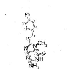 Cn1c(SCc2ccc(F)cc2)nc2nc(N)[nH]c(=O)c21